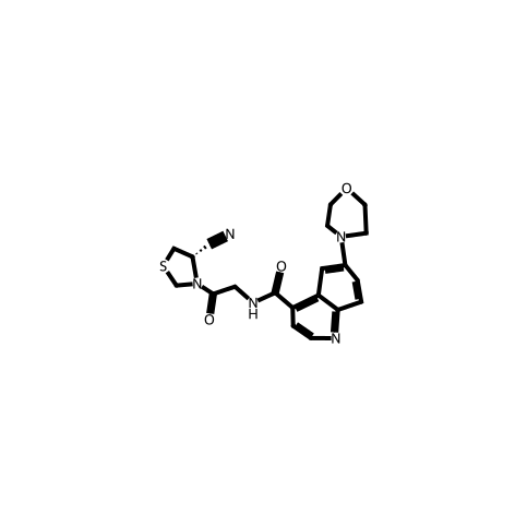 N#C[C@H]1CSCN1C(=O)CNC(=O)c1ccnc2ccc(N3CCOCC3)cc12